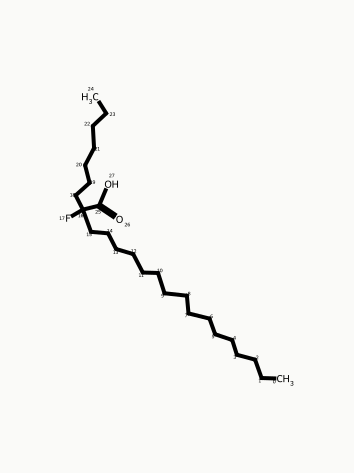 CCCCCCCCCCCCCCCCC(F)(CCCCCCC)C(=O)O